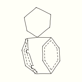 c1cc2ccc1-c1ccc(cc1)C21CCCCC1